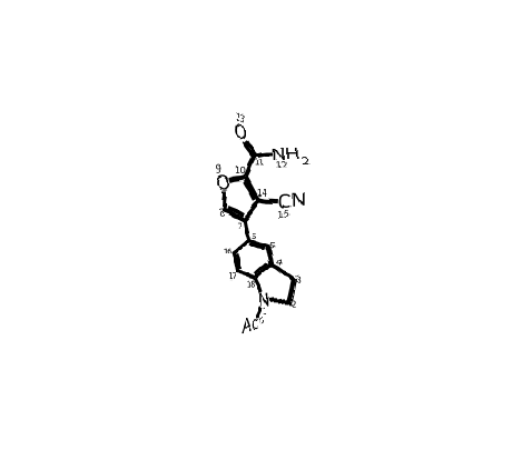 CC(=O)N1CCc2cc(-c3coc(C(N)=O)c3C#N)ccc21